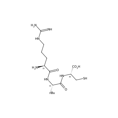 CCCC[C@H](NC(=O)[C@@H](N)CCCNC(=N)N)C(=O)N[C@@H](CS)C(=O)O